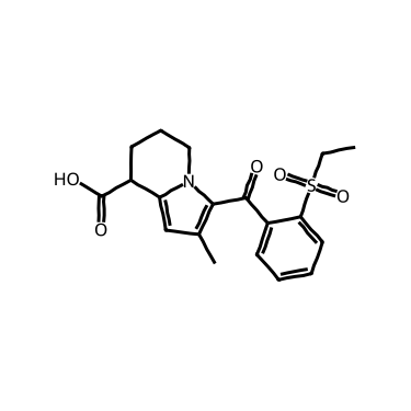 CCS(=O)(=O)c1ccccc1C(=O)c1c(C)cc2n1CCCC2C(=O)O